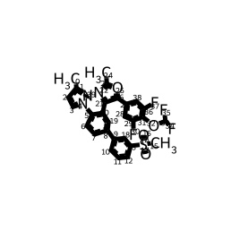 Cc1ccn(-c2ccc(-c3cccc(S(C)(=O)=O)c3)cc2-c2nc(C)oc2-c2cc(F)c(OC(F)F)c(F)c2)n1